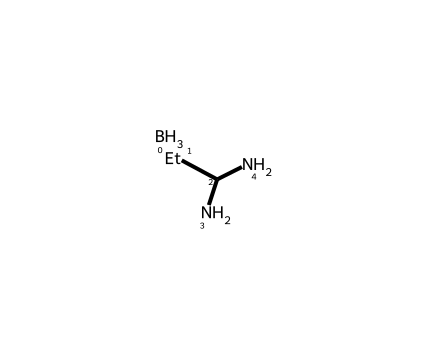 B.CCC(N)N